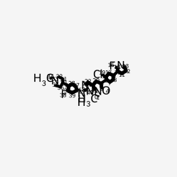 CCn1c(=O)c(-c2ccc(-c3cccnc3F)cc2Cl)cc2cnc(Nc3ccc(C4CCN(C)CC4)c(F)c3)nc21